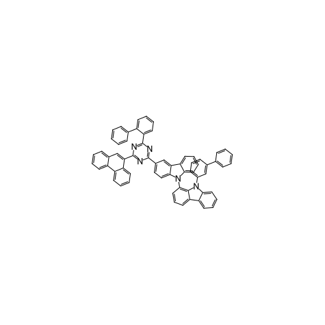 c1ccc(-c2cccc(-n3c4ccccc4c4cccc(-n5c6ccccc6c6cc(-c7nc(-c8ccccc8-c8ccccc8)nc(-c8cc9ccccc9c9ccccc89)n7)ccc65)c43)c2)cc1